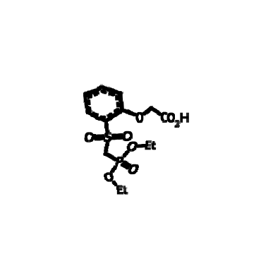 CCOP(=O)(CS(=O)(=O)c1ccccc1OCC(=O)O)OCC